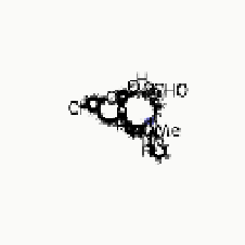 CO[C@]1(CN2CCN3CCCC[C@@H]3C2)/C=C/CC(C)[C@@H](CC=O)S(=O)(=O)NC(=O)c2ccc3c(c2)N(CCCCc2cc(Cl)ccc2CO3)C[C@@H]2CC[C@H]21